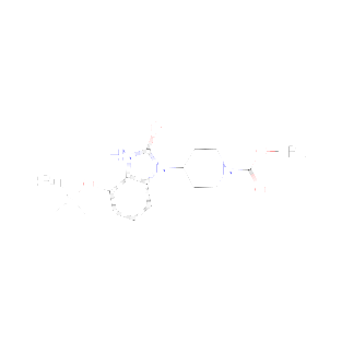 CC(C)(C)OC(=O)N1CCC(n2c(=O)[nH]c3c(O[Si](C)(C)C(C)(C)C)cccc32)CC1